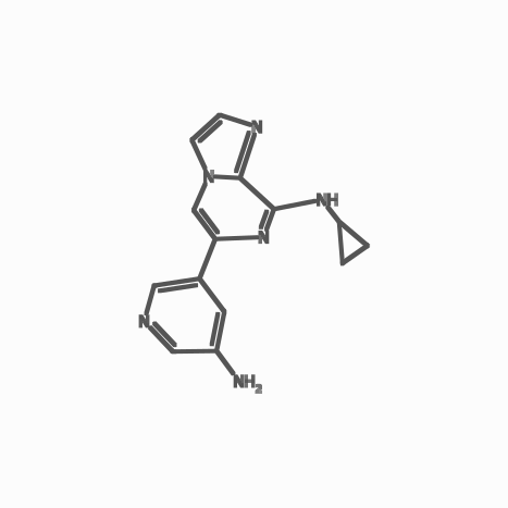 Nc1cncc(-c2cn3ccnc3c(NC3CC3)n2)c1